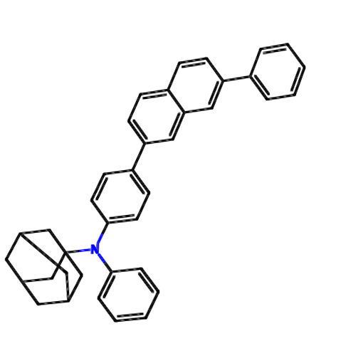 c1ccc(-c2ccc3ccc(-c4ccc(N(c5ccccc5)C56CC7CC(CC(C7)C5)C6)cc4)cc3c2)cc1